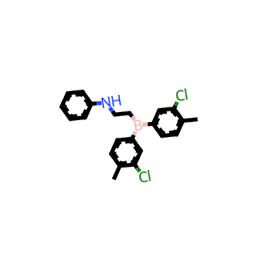 Cc1ccc(B(CCNc2ccccc2)c2ccc(C)c(Cl)c2)cc1Cl